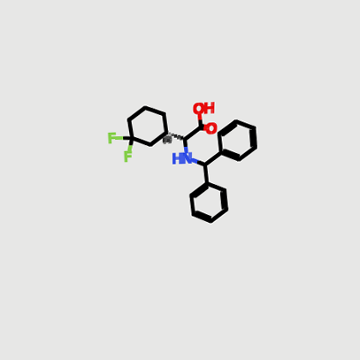 O=C(O)C(NC(c1ccccc1)c1ccccc1)[C@H]1CCCC(F)(F)C1